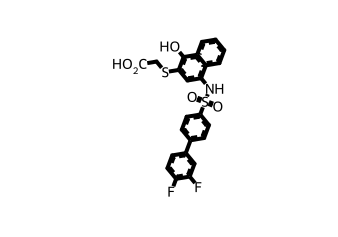 O=C(O)CSc1cc(NS(=O)(=O)c2ccc(-c3ccc(F)c(F)c3)cc2)c2ccccc2c1O